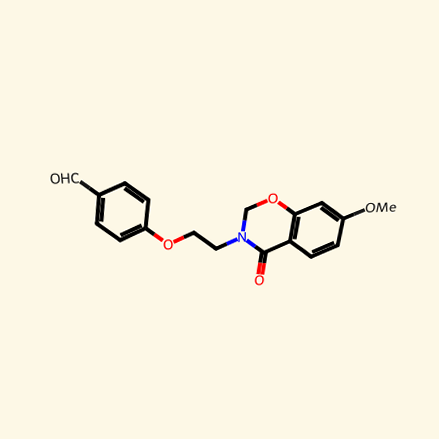 COc1ccc2c(c1)OCN(CCOc1ccc(C=O)cc1)C2=O